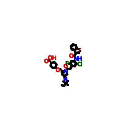 CCC1(C)CN([C@H]2C[C@@H](CO[C@H]3CC[C@H](C(=O)O)CC3)N(C(=O)Cc3cc(Cl)c(NC(=O)c4csc5ccccc45)cc3F)C2)C1